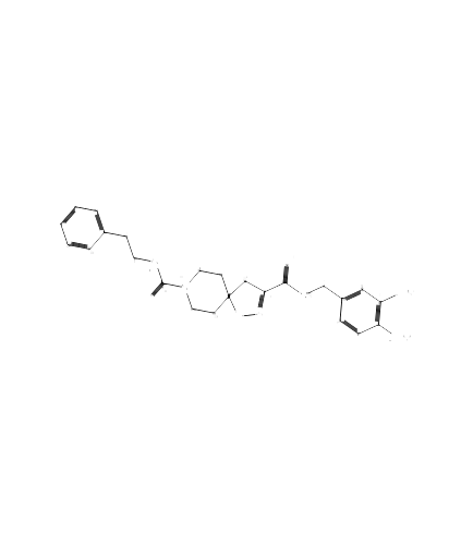 COc1ccc(CNC(=O)C2=NOC3(CCN(C(=S)NCCc4ccccc4)CC3)C2)cc1OC